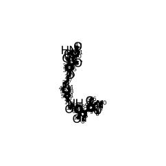 COc1cc(-c2cn(C)c(=O)c3c2CCN(C(=O)NCC2CC4(CCN(CCCOc5ccc6c(c5)C(=O)N(C5CCC(=O)NC5=O)C6=O)CC4)C2)C3)cc(OC)c1CN(C)C